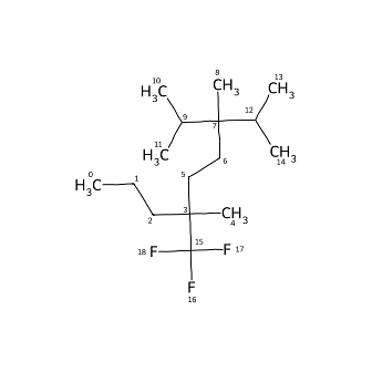 CCCC(C)(CCC(C)(C(C)C)C(C)C)C(F)(F)F